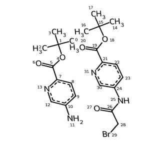 CC(C)(C)OC(=O)c1ccc(N)cn1.CC(C)(C)OC(=O)c1ccc(NC(=O)CBr)cn1